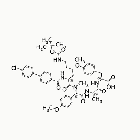 COc1ccc(C[C@H](NC(=O)[C@H](C)NC(=O)[C@H](c2ccc(OC)cc2)N(C)C(=O)[C@H](CCCCNC(=O)OC(C)(C)C)NC(=O)c2ccc(-c3ccc(Cl)cc3)cc2)C(=O)O)cc1